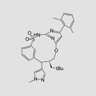 Cc1cccc(C)c1-c1cc2nc(n1)NS(=O)(=O)c1cccc(c1)C(c1cnn(C)c1)[C@H](CC(C)(C)C)CO2